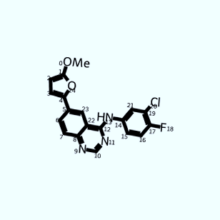 COc1ccc(-c2ccc3ncnc(Nc4ccc(F)c(Cl)c4)c3c2)o1